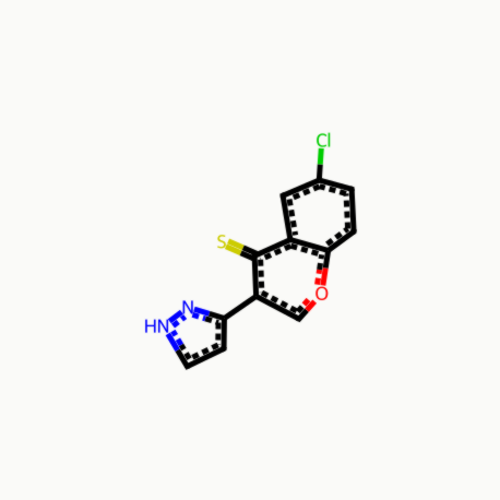 S=c1c(-c2cc[nH]n2)coc2ccc(Cl)cc12